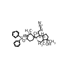 [CH2][C@H]1C[C@@H](O[Si](c2ccccc2)(c2ccccc2)C(C)(C)C)CC[C@@]1(C)[C@H]1CC[C@@]2(C)[C@@H](CC[C@]2(C)O)[C@@H]1CN=[N+]=[N-]